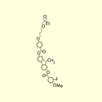 CCC1(COCCCCOc2ccc(C(=O)Oc3ccc4c(c3)C(C)c3cc(OC(=O)c5ccc(OC)c(F)c5)ccc3-4)cc2)COC1